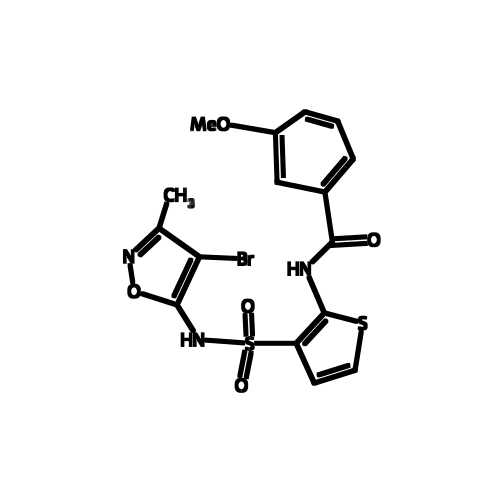 COc1cccc(C(=O)Nc2sccc2S(=O)(=O)Nc2onc(C)c2Br)c1